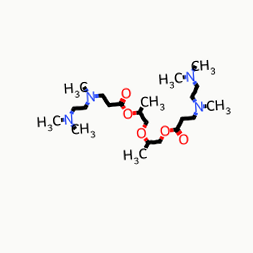 CC(COC(=O)CCN(C)CCN(C)C)OCC(C)OC(=O)CCN(C)CCN(C)C